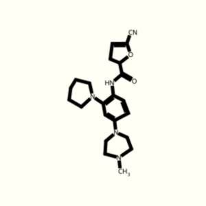 CN1CCN(c2ccc(NC(=O)C3CC=C(C#N)O3)c(N3CCCCC3)c2)CC1